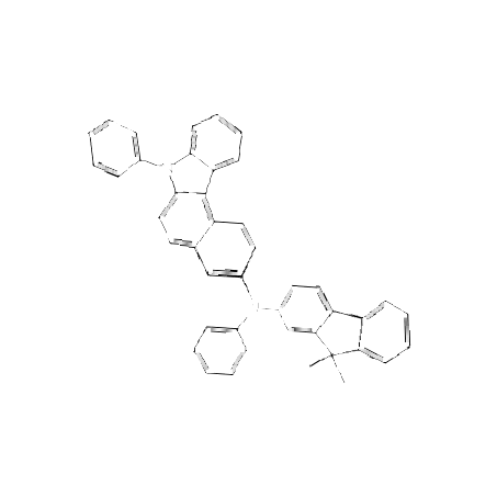 CC1(C)c2ccccc2-c2ccc(N(c3ccccc3)c3ccc4c(ccc5c4c4ccccc4n5-c4ccccc4)c3)cc21